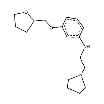 c1cc(NCCN2CCCC2)cc(OCC2CCCO2)c1